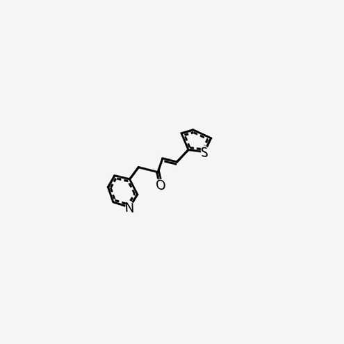 O=C(C=Cc1cccs1)Cc1cccnc1